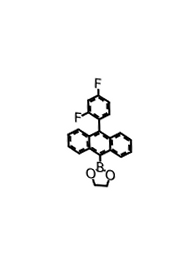 Fc1ccc(-c2c3ccccc3c(B3OCCO3)c3ccccc23)c(F)c1